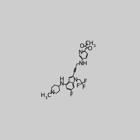 CN1CCC(Nc2cc(F)cc3c2cc(C#CCNc2ccc(S(C)(=O)=O)nc2)n3CC(F)(F)F)CC1